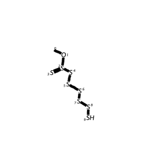 COS(=S)SSSSSS